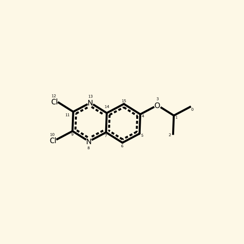 CC(C)Oc1ccc2nc(Cl)c(Cl)nc2c1